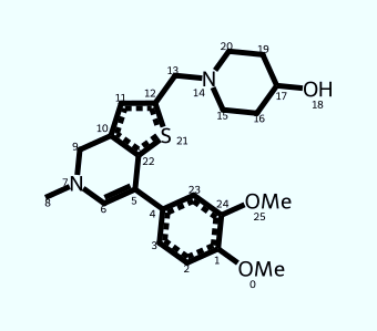 COc1ccc(C2=CN(C)Cc3cc(CN4CCC(O)CC4)sc32)cc1OC